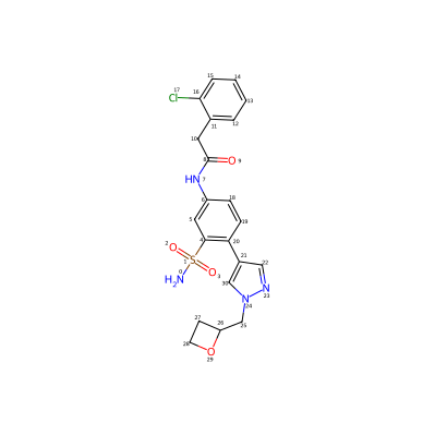 NS(=O)(=O)c1cc(NC(=O)Cc2ccccc2Cl)ccc1-c1cnn(CC2CCO2)c1